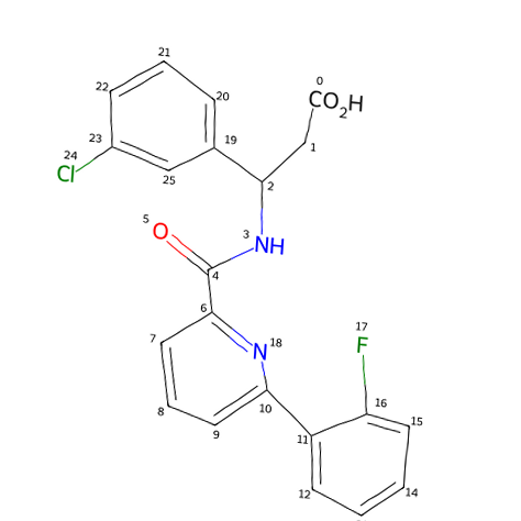 O=C(O)CC(NC(=O)c1cccc(-c2ccccc2F)n1)c1cccc(Cl)c1